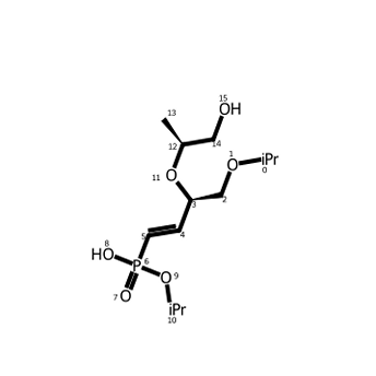 CC(C)OC[C@@H](/C=C/P(=O)(O)OC(C)C)O[C@@H](C)CO